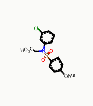 COc1ccc(S(=O)(=O)N(CC(=O)O)c2cccc(Cl)c2)cc1